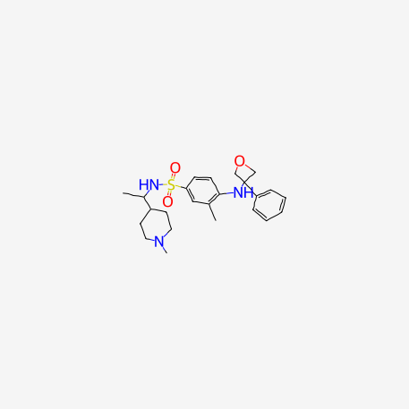 Cc1cc(S(=O)(=O)NC(C)C2CCN(C)CC2)ccc1NC1(c2ccccc2)COC1